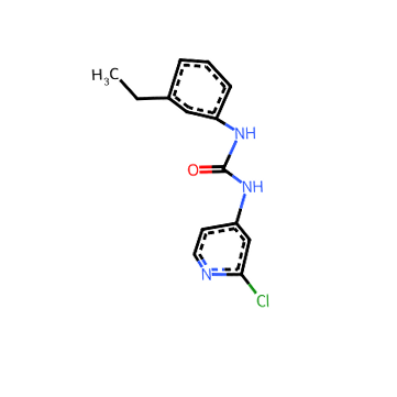 CCc1cccc(NC(=O)Nc2ccnc(Cl)c2)c1